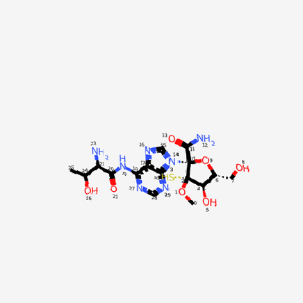 CO[C@]1(S)[C@H](O)[C@@H](CO)O[C@@]1(C(N)=O)n1cnc2c(NC(=O)C(N)C(C)O)ncnc21